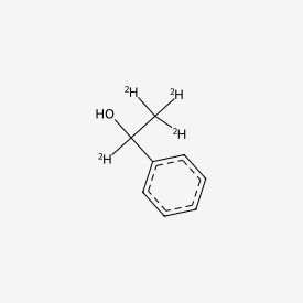 [2H]C([2H])([2H])C([2H])(O)c1ccccc1